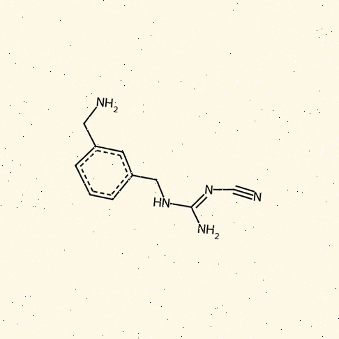 N#CN=C(N)NCc1cccc(CN)c1